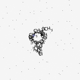 COCC[C@H]1C[C@@H](C)/C=C/[C@H](OC)[C@@H]2CCC2CN2CC3(CCCc4cc(Cl)ccc43)COc3ccc(cc32)C(=O)NS1(=O)=O